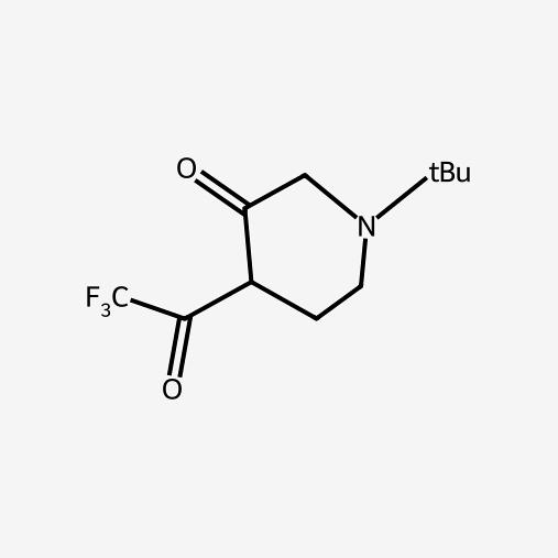 CC(C)(C)N1CCC(C(=O)C(F)(F)F)C(=O)C1